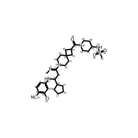 C/N=C(\CC(Nc1ccc(C#N)c(Cl)c1)C1CCCC1)N1CCC2(CC1)CC(C(=O)N1CCC(NS(C)(=O)=O)CC1)C2